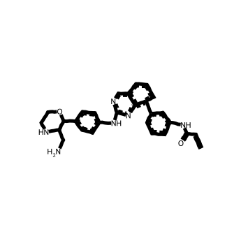 C=CC(=O)Nc1cccc(-c2cccc3cnc(Nc4ccc(C5OCCNC5CN)cc4)nc23)c1